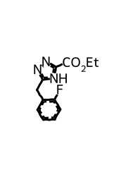 CCOC(=O)c1nnc(Cc2ccccc2F)[nH]1